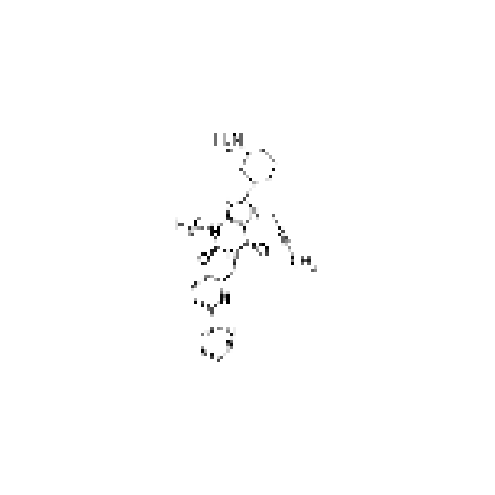 CC#CCn1c(N2CCC[C@@H](N)C2)nc2c1c(=O)n(Cc1cccc(-c3ccccn3)n1)c(=O)n2C